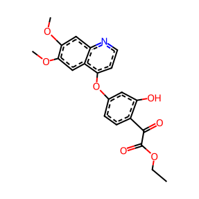 CCOC(=O)C(=O)c1ccc(Oc2ccnc3cc(OC)c(OC)cc23)cc1O